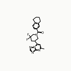 Cc1cc(C2CN(C(=O)c3ccc4c(c3)CCCC4)CC(F)(F)C2)n2ncnc2n1